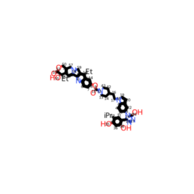 CCc1c2c(nc3ccc(OC(=O)N4CCC(CCn5ccc6cc(-n7c(O)nnc7-c7cc(C(C)C)c(O)cc7O)ccc65)CC4)cc13)C1=CC3=C(COC(=O)[C@]3(O)CC)CN1C2